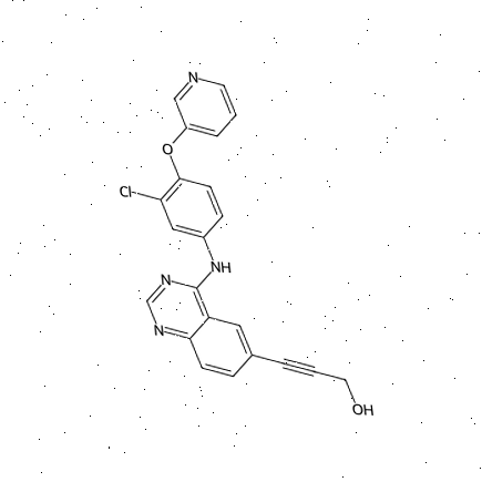 OCC#Cc1ccc2ncnc(Nc3ccc(Oc4cccnc4)c(Cl)c3)c2c1